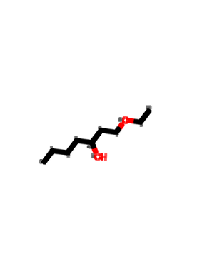 CCCCC(O)CCOCC